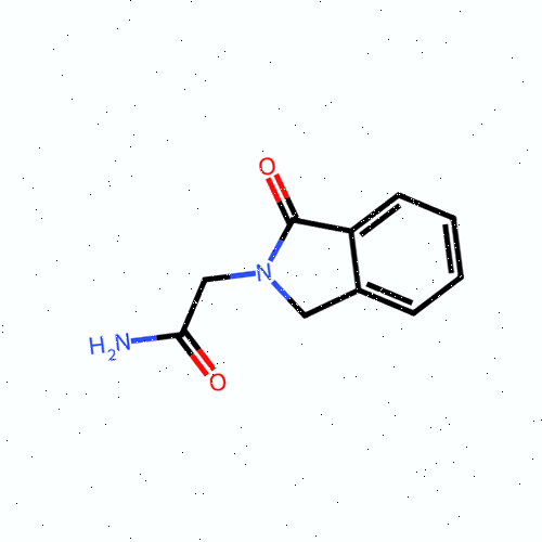 NC(=O)CN1Cc2ccccc2C1=O